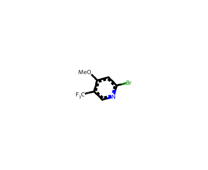 COc1cc(Br)ncc1C(F)(F)F